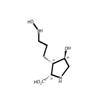 O=C(O)[C@H]1NC[C@H](O)[C@H]1CCCBO